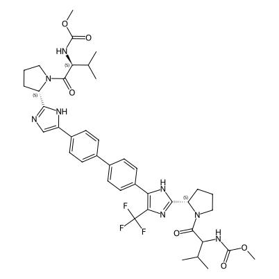 COC(=O)NC(C(=O)N1CCC[C@H]1c1nc(C(F)(F)F)c(-c2ccc(-c3ccc(-c4cnc([C@@H]5CCCN5C(=O)[C@@H](NC(=O)OC)C(C)C)[nH]4)cc3)cc2)[nH]1)C(C)C